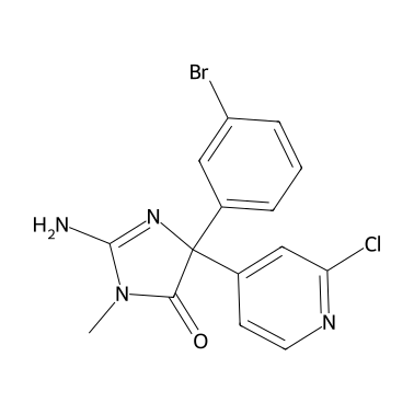 CN1C(=O)C(c2cccc(Br)c2)(c2ccnc(Cl)c2)N=C1N